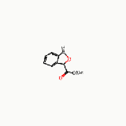 COC(=O)C1OBc2ccccc21